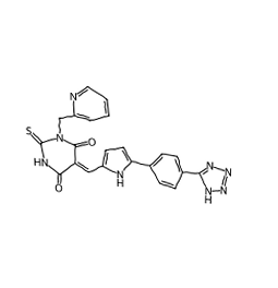 O=C1NC(=S)N(Cc2ccccn2)C(=O)/C1=C\c1ccc(-c2ccc(-c3nnn[nH]3)cc2)[nH]1